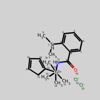 C[SiH](C)c1ccccc1C(=O)[NH][Ti+2]([CH3])([CH3])([CH3])([CH3])[C]1=CC=CC1.[Cl-].[Cl-]